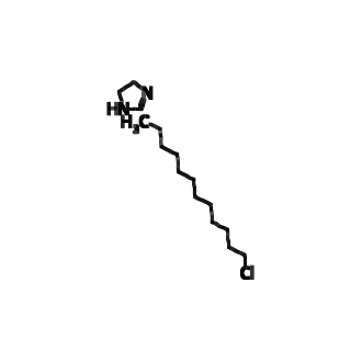 C1=NCCN1.CCCCCCCCCCCCCl